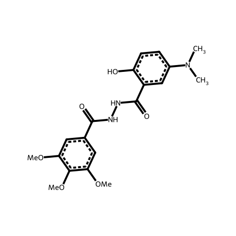 COc1cc(C(=O)NNC(=O)c2cc(N(C)C)ccc2O)cc(OC)c1OC